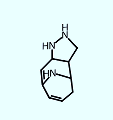 C1=CC2=CC3NNCC3C(C1)N2